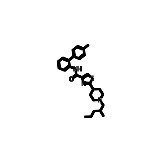 CCCC(C)CN1CCC(c2nc(C(=O)Nc3ccccc3-c3ccc(C)cc3)cs2)CC1